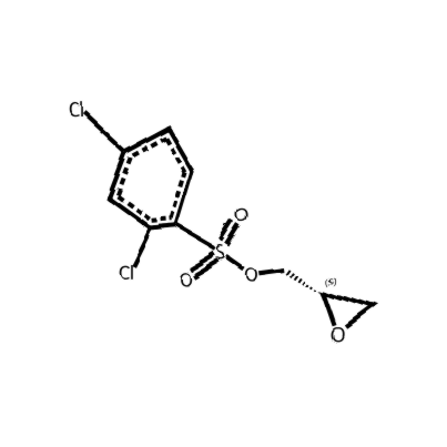 O=S(=O)(OC[C@@H]1CO1)c1ccc(Cl)cc1Cl